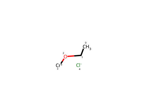 CC[O][Cr+].[Cl-]